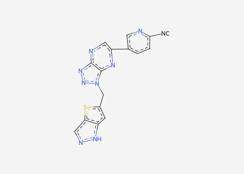 [C-]#[N+]c1ccc(-c2cnc3nnn(Cc4cc5[nH]ncc5s4)c3n2)cn1